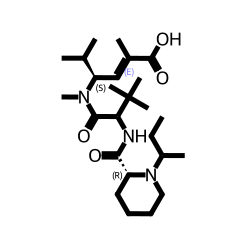 CCC(C)N1CCCC[C@@H]1C(=O)NC(C(=O)N(C)[C@H](/C=C(\C)C(=O)O)C(C)C)C(C)(C)C